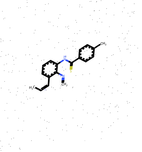 C=Nc1c(/C=C\C)cccc1NC(=S)c1ccc(C)cc1